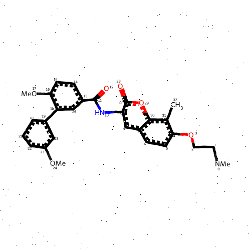 CNCCOc1ccc2cc(NC(=O)c3ccc(OC)c(-c4cccc(OC)c4)c3)c(=O)oc2c1C